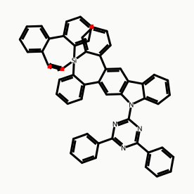 c1ccc(-c2nc(-c3ccccc3)nc(-n3c4ccccc4c4cc5c(cc43)-c3ccccc3[Si]3(c4ccccc4-c4ccccc4-c4ccccc43)c3ccccc3-5)n2)cc1